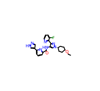 CCO[C@H]1CC[C@H](n2cc(NC(=O)c3cccc(-c4cn[nH]c4)n3)c(-c3ncccc3F)n2)CC1